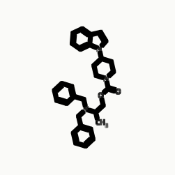 CC(COC(=O)N1CCC(n2ccc3ccccc32)CC1)N(Cc1ccccc1)Cc1ccccc1